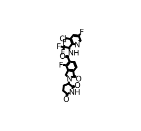 O=C1CCC(N2Cc3c(ccc(C(=O)NC(c4ncc(F)cc4Cl)C(F)(F)F)c3F)C2=O)C(=O)N1